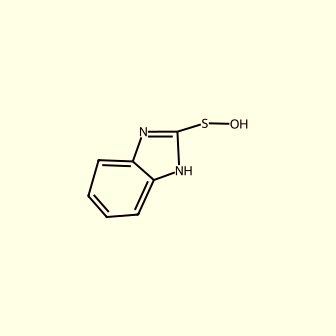 OSc1nc2ccccc2[nH]1